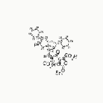 CCOC1O[C@H](C(=O)O)[C@@H](C(=O)N(CC(=O)O)[C@H](C)[C@H](CCc2ccccc2)c2ccc(-c3ccccc3)c(F)c2)O1